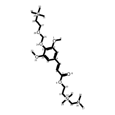 COc1cc(/C=C/C(=O)OCC[Si](C)(C)CN(C)C)cc(OC)c1OCOCC[Si](C)(C)C